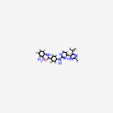 Cc1nc(C(C)C)c(-c2ccnc(Nc3ccc(C(=O)Nc4ccccc4N)cc3)n2)[nH]1